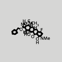 CNc1cc(F)c2c(c1O)C(=O)C1=C(O)[C@]3(O)C(=O)c4c(OCc5ccccc5)noc4[C@@H](N(C)C)[C@@H]3C[C@@H]1C2